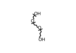 CC(C)(O)CCOC(C)(C)CCCOC(C)(C)CCCCO